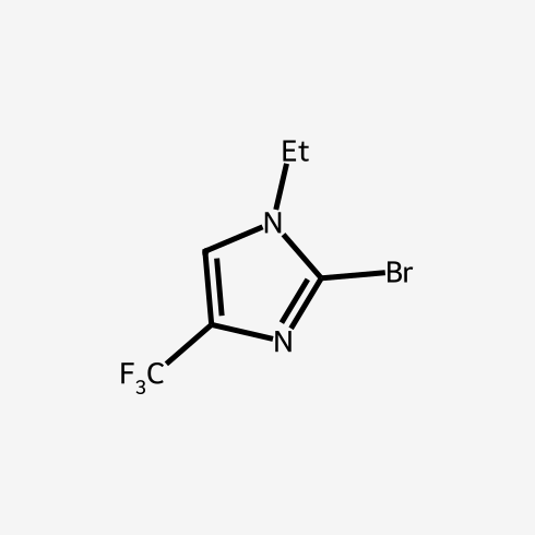 CCn1cc(C(F)(F)F)nc1Br